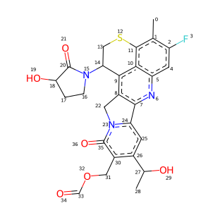 Cc1c(F)cc2nc3c(c4c2c1SCC4N1CCC(O)C1=O)Cn1c-3cc(C(C)O)c(COC=O)c1=O